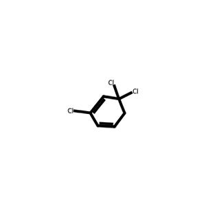 ClC1=CC(Cl)(Cl)CC=C1